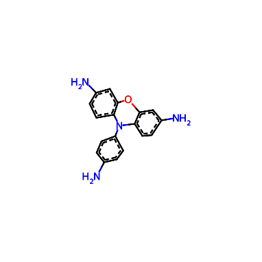 Nc1ccc(N2c3ccc(N)cc3Oc3cc(N)ccc32)cc1